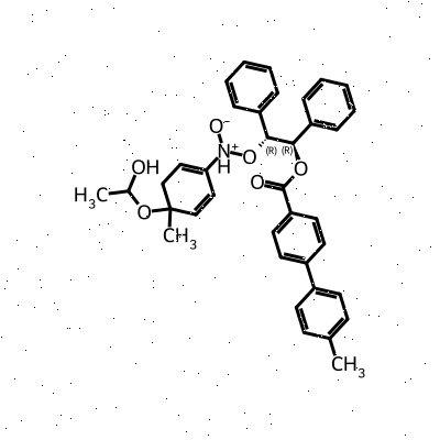 Cc1ccc(-c2ccc(C(=O)O[C@H](c3ccccc3)[C@H](O[NH+]([O-])C3=CCC(C)(OC(C)O)C=C3)c3ccccc3)cc2)cc1